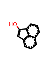 OC1=Cc2cccc3cccc1c23